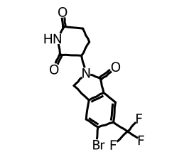 O=C1CCC(N2Cc3cc(Br)c(C(F)(F)F)cc3C2=O)C(=O)N1